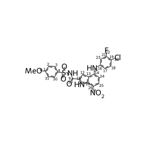 COc1ccc(S(=O)(=O)NC(=O)c2cc3c(Nc4ccc(Cl)c(F)c4)ccc([N+](=O)[O-])c3[nH]2)cc1